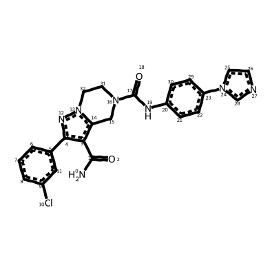 NC(=O)c1c(-c2cccc(Cl)c2)nn2c1CN(C(=O)Nc1ccc(-n3ccnc3)cc1)CC2